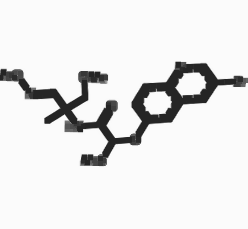 COCC(C)(/C=N/OC)NC(=O)C(Oc1ccc2ncc(Br)cc2c1)SC